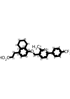 Cc1nc(-c2ccc(C(F)(F)F)cc2)ccc1COc1ccc(CCC(=O)O)c2c1CCCC2